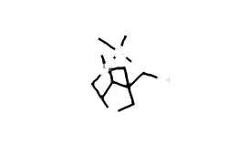 C[Si](C)(C)OC1C2CN(C(=O)O)CC1(CO)CO2